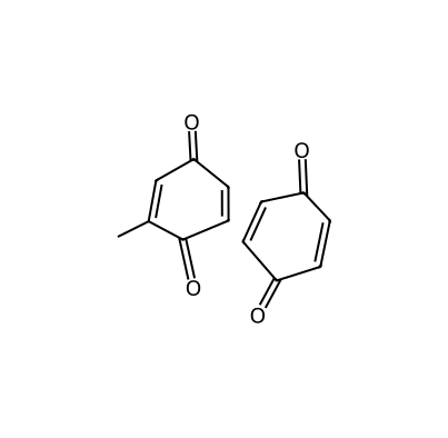 CC1=CC(=O)C=CC1=O.O=C1C=CC(=O)C=C1